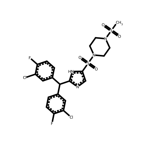 CS(=O)(=O)N1CCN(S(=O)(=O)c2cnc(C(c3ccc(F)c(Cl)c3)c3ccc(F)c(Cl)c3)[nH]2)CC1